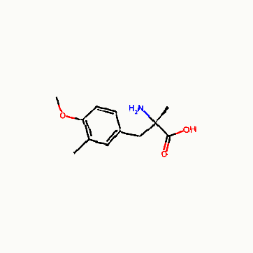 COc1ccc(C[C@](C)(N)C(=O)O)cc1C